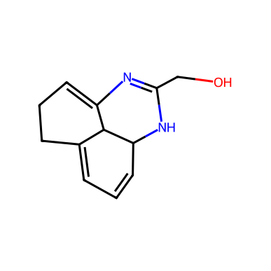 OCC1=NC2=CCCC3=CC=CC(N1)C32